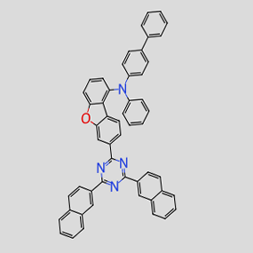 c1ccc(-c2ccc(N(c3ccccc3)c3cccc4oc5cc(-c6nc(-c7ccc8ccccc8c7)nc(-c7ccc8ccccc8c7)n6)ccc5c34)cc2)cc1